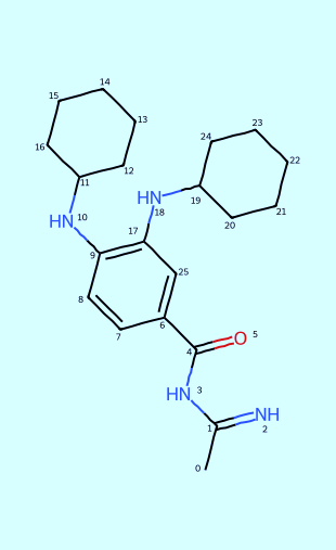 CC(=N)NC(=O)c1ccc(NC2CCCCC2)c(NC2CCCCC2)c1